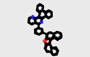 c1cc(-c2nc3c4ccccc4c4ccccc4c3c3ncccc23)cc(-c2cc3ccccc3c3c2oc2ccc4ccccc4c23)c1